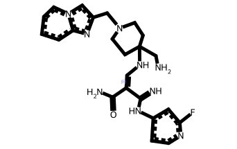 N=C(Nc1ccnc(F)c1)/C(=C\NC1(CN)CCN(Cc2cn3ccccc3n2)CC1)C(N)=O